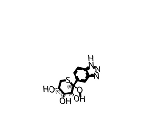 CO[C@]1(c2ccc3[nH]nnc3c2)SC[C@@H](O)[C@H](O)[C@H]1O